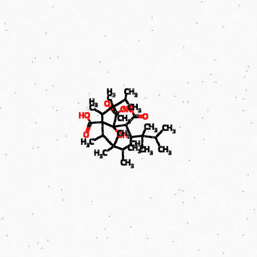 CC(C)C(C)(C)C(C)C(C(=O)O)C(O)(C(=O)O)C(C(=O)O)(C(C)C(C)(C)C(C)C)C(C)C(C)(C)C(C)C